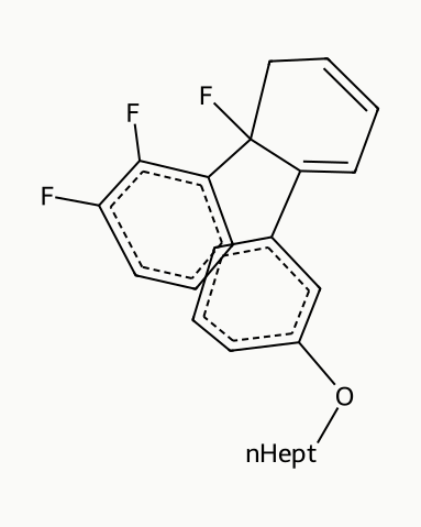 CCCCCCCOc1cccc(C2=CC=CCC2(F)c2cccc(F)c2F)c1